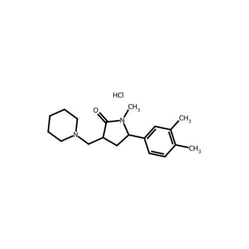 Cc1ccc(C2CC(CN3CCCCC3)C(=O)N2C)cc1C.Cl